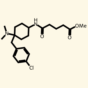 COC(=O)CCCC(=O)NC1CCC(Cc2ccc(Cl)cc2)(N(C)C)CC1